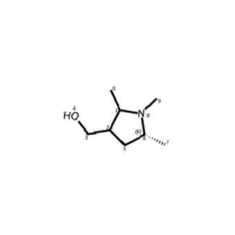 CC1C(CO)C[C@@H](C)N1C